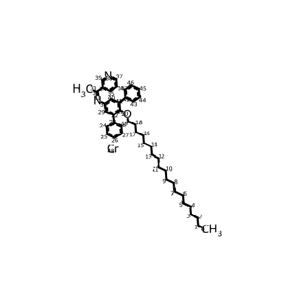 CCCCCCCCCCCCCCCCCCCCOc1c(-c2ccccc2)cc(N=C(C)c2cccnc2)cc1-c1ccccc1.[Cr]